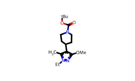 CCn1nc(OC)c(C2CCN(C(=O)OC(C)(C)C)CC2)c1C